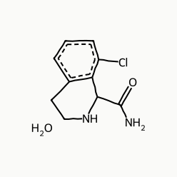 NC(=O)C1NCCc2cccc(Cl)c21.O